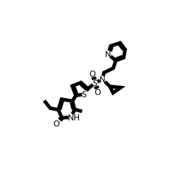 CCc1cc(-c2ccc(S(=O)(=O)N(CCc3ccccn3)C3CC3)s2)c(C)[nH]c1=O